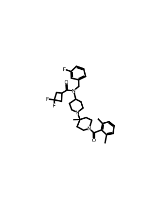 Cc1cccc(C)c1C(=O)N1CCC(C)(N2CCC(N(Cc3cccc(F)c3)C(=O)C3CC(F)(F)C3)CC2)CC1